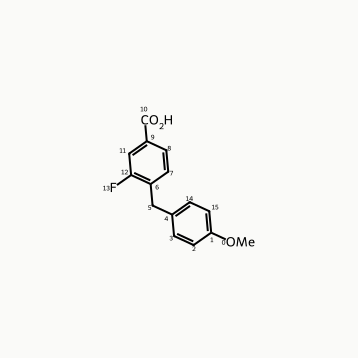 COc1ccc(Cc2ccc(C(=O)O)cc2F)cc1